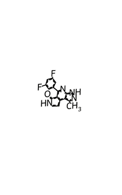 Cc1n[nH]c2nc(-c3cc(F)cc(F)c3)c3c(=O)[nH]ccc3c12